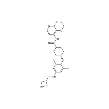 O=C(Nc1ccnc2c1OCCO2)N1CCC(=Cc2c(F)cc(NCC3CNC3)cc2F)CC1